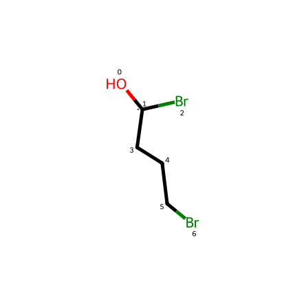 O[C](Br)CCCBr